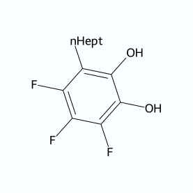 CCCCCCCc1c(O)c(O)c(F)c(F)c1F